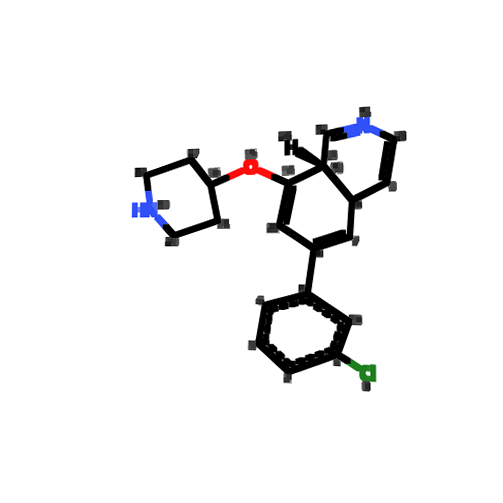 Clc1cccc(C2=CC3C=CN=C[C@H]3C(OC3CCNCC3)=C2)c1